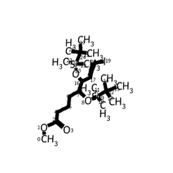 COC(=O)CCCC(O[Si](C)(C)C(C)(C)C)C(C=CI)O[Si](C)(C)C(C)(C)C